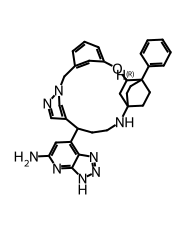 Nc1cc(C2CCNC34CCC(c5ccccc5)(CC3)[C@@H](C4)Oc3cccc(c3)Cn3cc2cn3)c2nn[nH]c2n1